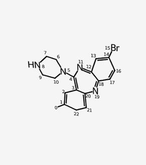 CC1=CC2=C(N3CCNCC3)N=c3cc(Br)ccc3=NC2=CC1